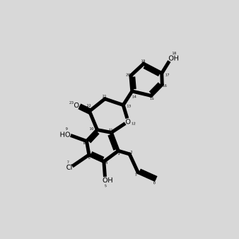 C=CCc1c(O)c(Cl)c(O)c2c1OC(c1ccc(O)cc1)CC2=O